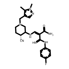 Cc1c(CN2CC[C@@H](C#N)C(N/C=C(\C(=N)Nc3ccc(F)cc3)C(N)=O)C2)cnn1C